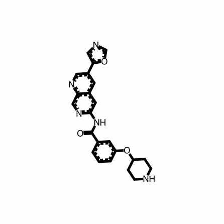 O=C(Nc1cc2cc(-c3cnco3)cnc2cn1)c1cccc(OC2CCNCC2)c1